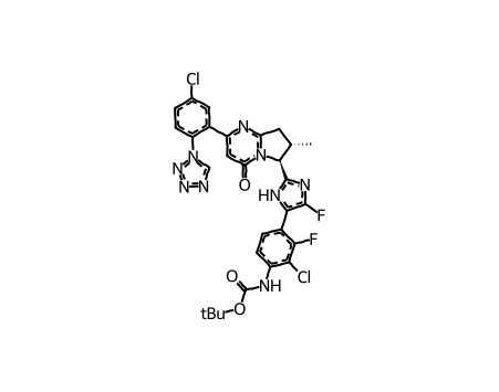 C[C@H]1Cc2nc(-c3cc(Cl)ccc3-n3cnnn3)cc(=O)n2[C@@H]1c1nc(F)c(-c2ccc(NC(=O)OC(C)(C)C)c(Cl)c2F)[nH]1